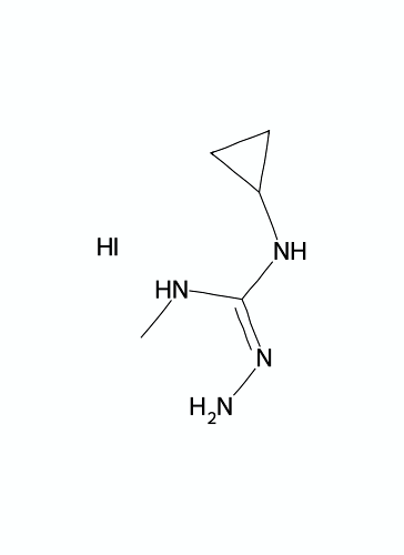 CN/C(=N\N)NC1CC1.I